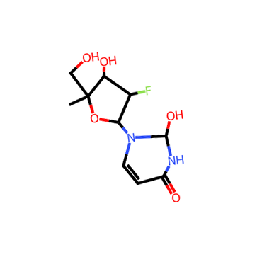 CC1(CO)OC(N2C=CC(=O)NC2O)C(F)C1O